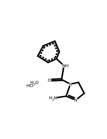 Cl.NC1=NCCN1C(=O)Nc1ccccc1.O